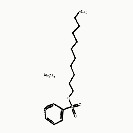 CCCCCCCCCCCCCCCCCCCCOS(=O)(=O)c1ccccc1.[MgH2]